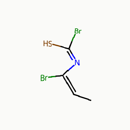 C/C=C(Br)\N=C(/S)Br